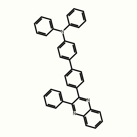 c1ccc(-c2nc3ccccc3nc2-c2ccc(-c3ccc(N(c4ccccc4)c4ccccc4)cc3)cc2)cc1